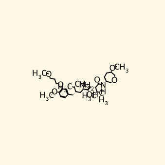 COCCCOc1cc(C[C@@H](C[C@H](N)[C@@H](O)C[C@H](C(=O)N[C@@H]2CC[C@@H](OC)COC2)C(C)C)C(C)C)ccc1OC